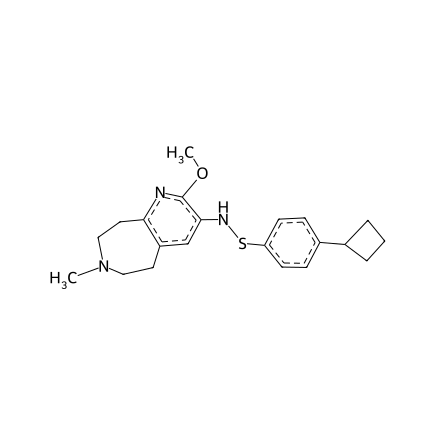 COc1nc2c(cc1NSc1ccc(C3CCC3)cc1)CCN(C)CC2